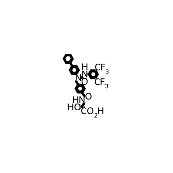 O=C(NC[C@@H](O)C(=O)O)c1ccc(CN(C(=O)Nc2cc(C(F)(F)F)cc(C(F)(F)F)c2)c2ccc(C3=CCCCC3)cc2)cc1